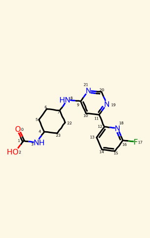 O=C(O)NC1CCC(Nc2cc(-c3cccc(F)n3)ncn2)CC1